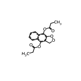 CCC(=O)Oc1c2c(c(OC(=O)CC)c3ccccc13)OOC2